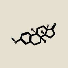 COc1ccc2c(c1)CC[C@@H]1[C@@H]2CC[C@@]2(C)C(=O)CC[C@@H]12